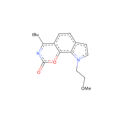 COCCn1ccc2ccc3c(C(C)(C)C)nc(=O)oc3c21